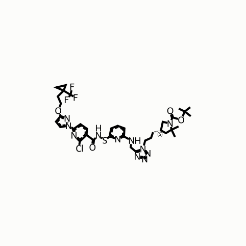 CC(C)(C)OC(=O)N1C[C@@H](CCCn2nnnc2CNc2cccc(SNC(=O)c3ccc(-n4ccc(OCCC5(C(F)(F)F)CC5)n4)nc3Cl)n2)CC1(C)C